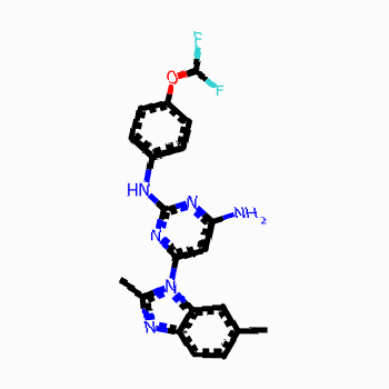 Cc1ccc2nc(C)n(-c3cc(N)nc(Nc4ccc(OC(F)F)cc4)n3)c2c1